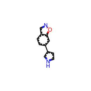 c1cc(-c2ccc3cnoc3c2)c[nH]1